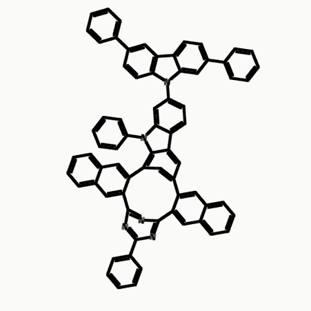 c1ccc(-c2ccc3c(c2)c2ccc(-c4ccccc4)cc2n3-c2ccc3c4cc5cc(c6cc7ccccc7cc6c6nc(-c7ccccc7)nc(n6)c6cc7ccccc7cc56)c4n(-c4ccccc4)c3c2)cc1